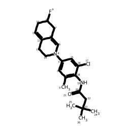 Cc1cc(N2C=C3CC(F)CC=C3CC2)cc(Cl)c1NC(=O)CC(C)(C)C